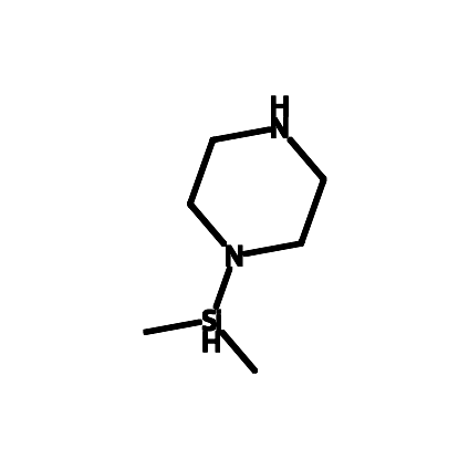 C[SiH](C)N1CCNCC1